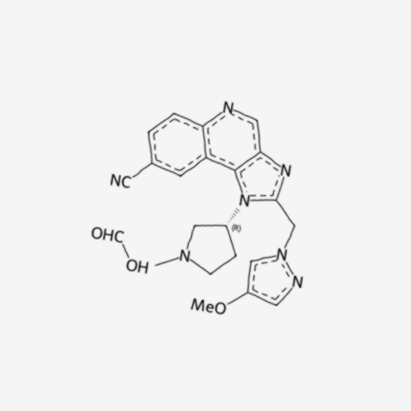 COc1cnn(Cc2nc3cnc4ccc(C#N)cc4c3n2[C@@H]2CCN(C)C2)c1.O=CO